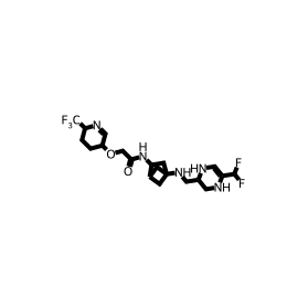 O=C(COC1C=NC(C(F)(F)F)CC1)NC1CC2(NCC3CNC(C(F)F)=CN3)CC1C2